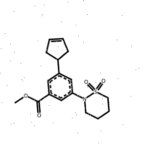 COC(=O)c1cc(C2CC=CC2)cc(N2CCCCS2(=O)=O)c1